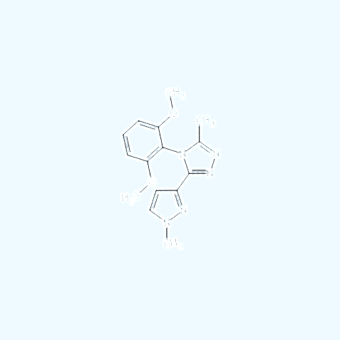 COc1cccc(OC)c1-n1c(C)nnc1-c1ccn(C)n1